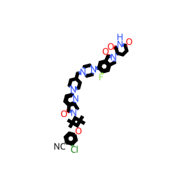 CC1(C)[C@H](Oc2ccc(C#N)c(Cl)c2)C(C)(C)[C@H]1N1Cc2nc(N3CCC(CN4CCN(c5cc6c(cc5F)CN(C5CCC(=O)NC5=O)C6=O)CC4)CC3)ccc2C1=O